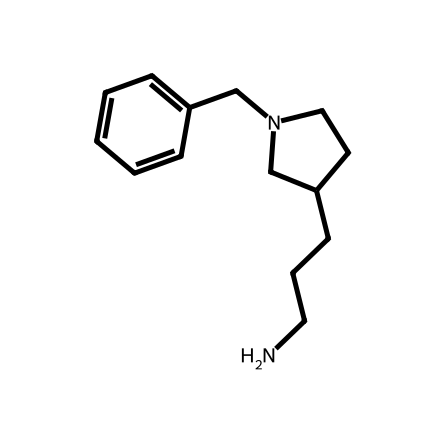 NCCCC1CCN(Cc2ccccc2)C1